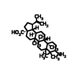 C=C(C)[C@@H]1CC[C@]2(C(=O)O)CC[C@]3(C)[C@H](CC[C@@H]4[C@@]5(C)CCC(N)C(C)(C)[C@@H]5CC[C@]43C)[C@@H]12